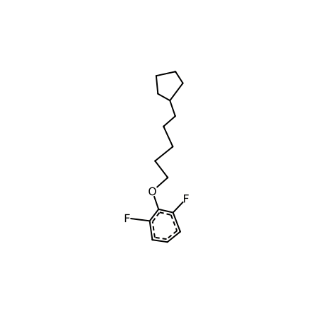 Fc1cccc(F)c1OCCCCCC1CCCC1